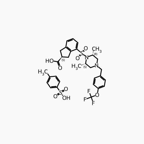 C[C@@H]1CN(Cc2ccc(OC(F)(F)F)cc2)C[C@H](C)N1S(=O)(=O)c1cccc2c1C[C@@H](C(=O)O)C2.Cc1ccc(S(=O)(=O)O)cc1